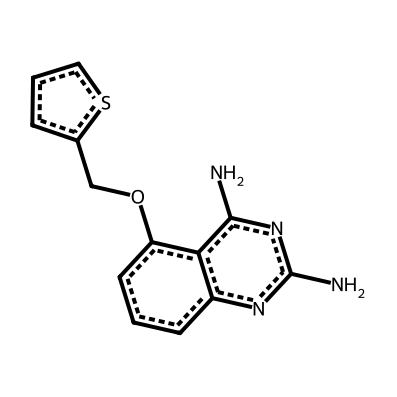 Nc1nc(N)c2c(OCc3cccs3)cccc2n1